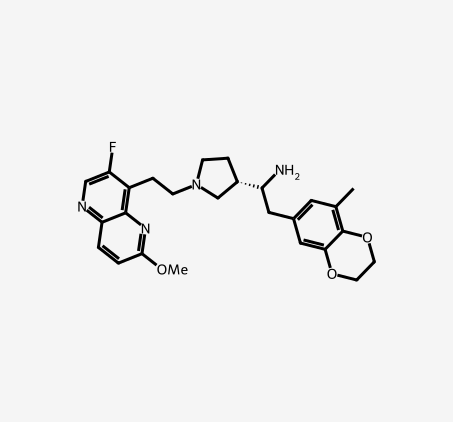 COc1ccc2ncc(F)c(CCN3CC[C@H](C(N)Cc4cc(C)c5c(c4)OCCO5)C3)c2n1